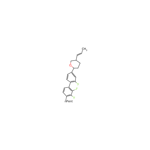 C/C=C/C1CCC(c2ccc(-c3ccc(CCCCC)c(F)c3F)c(F)c2)OC1